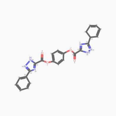 O=C(Oc1ccc(OC(=O)c2nc(C3C=CC=CC3)n[nH]2)cc1)c1nc(-c2ccccc2)n[nH]1